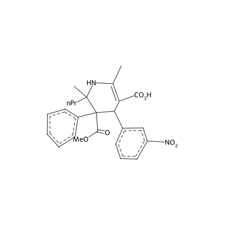 CCCC1(C)NC(C)=C(C(=O)O)C(c2cccc([N+](=O)[O-])c2)C1(C(=O)OC)c1ccccc1